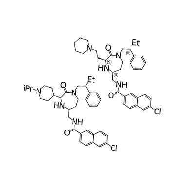 CCC(CN1CCC(CNC(=O)c2ccc3cc(Cl)ccc3c2)NC(C2CCN(C(C)C)CC2)C1=O)c1ccccc1.CC[C@@H](CN1CC[C@@H](CNC(=O)c2ccc3cc(Cl)ccc3c2)N[C@@H](CCN2CCCCC2)C1=O)c1ccccc1